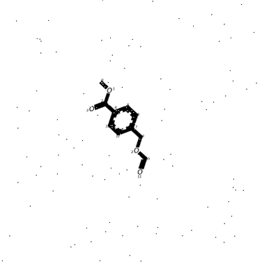 COC(=O)c1ccc(CO[C]=O)cc1